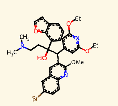 CCOc1cc(C(c2cc3cc(Br)ccc3nc2OC)C(O)(CCN(C)C)c2cccc3ccoc23)cc(OCC)n1